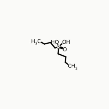 CCCCS(=O)(O)(O)CCCC